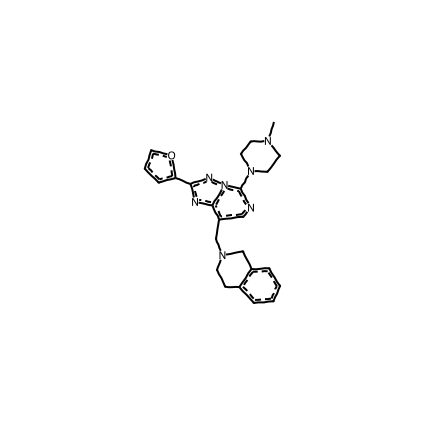 CN1CCN(c2ncc(CN3CCc4ccccc4C3)c3nc(-c4ccco4)nn23)CC1